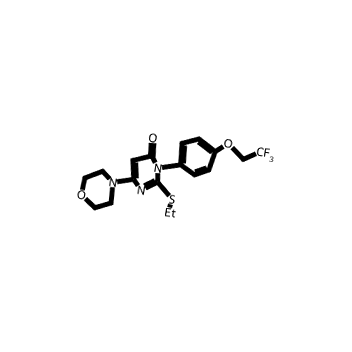 CCSc1nc(N2CCOCC2)cc(=O)n1-c1ccc(OCC(F)(F)F)cc1